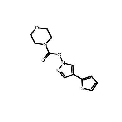 O=C(On1cc(-c2cccs2)cn1)N1CCOCC1